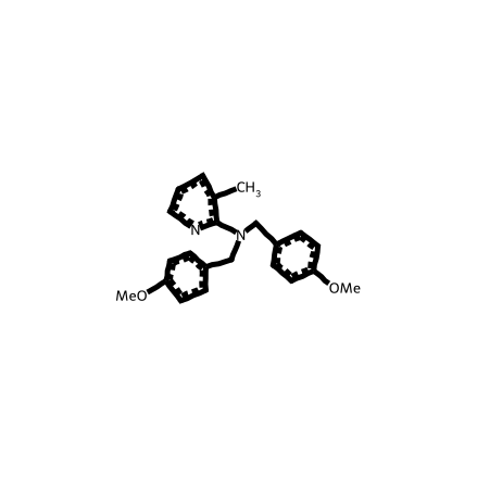 COc1ccc(CN(Cc2ccc(OC)cc2)c2ncccc2C)cc1